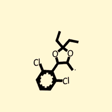 [CH2]C1OC(CC)(CC)OC1c1c(Cl)cccc1Cl